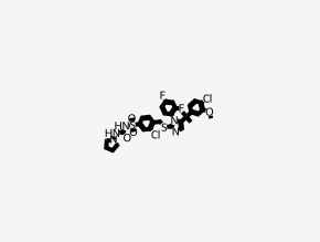 COc1cc(C(C)(C)c2cnc(SCc3ccc(S(=O)(=O)NC(=O)NN4CCCC4)cc3Cl)n2-c2ccc(F)cc2F)ccc1Cl